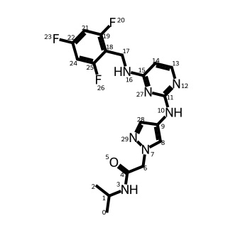 CC(C)NC(=O)Cn1cc(Nc2nccc(NCc3c(F)cc(F)cc3F)n2)cn1